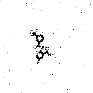 NC(=O)c1cc(F)cnc1NC(=O)c1cccc(C(F)(F)F)c1